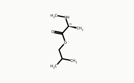 CN[C@@H](C)C(=O)OCC(C)C